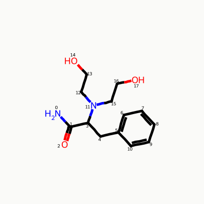 NC(=O)C(Cc1ccccc1)N(CCO)CCO